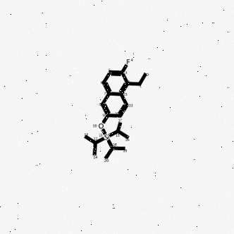 CCc1c(F)ccc2cc(O[Si](C(C)C)(C(C)C)C(C)C)ccc12